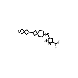 Cn1nc(C(F)F)cc1SN1CCC2(CC1)CC(N1CC3(COC3)C1)C2